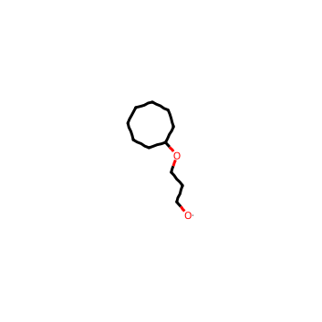 [O]CCCOC1CCCCCCC1